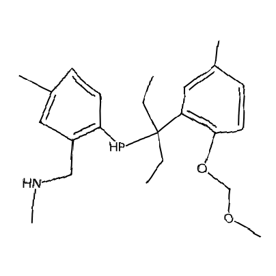 CCC(CC)(Pc1ccc(C)cc1CNC)c1cc(C)ccc1OCOC